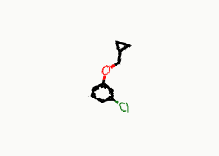 Clc1c[c]cc(OCC2CC2)c1